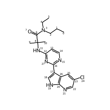 CCCN(CC)C(=O)C(C)(C)Nc1ccnc(-c2c[nH]c3ncc(Cl)cc23)n1